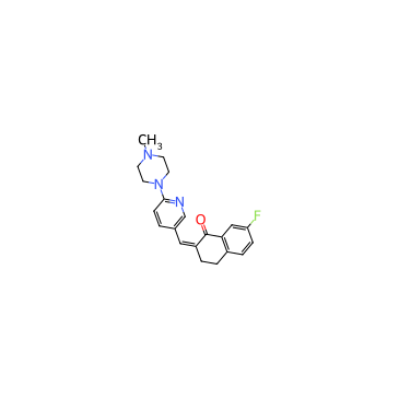 CN1CCN(c2ccc(C=C3CCc4ccc(F)cc4C3=O)cn2)CC1